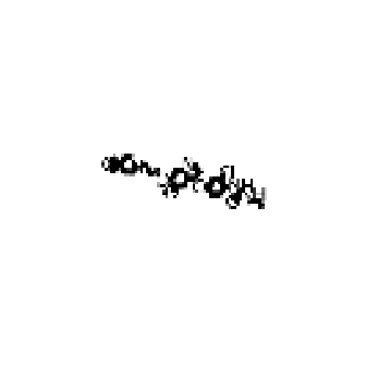 CCCNC(=O)Nc1ccc(Oc2ccnc3cc(OCCCN4CCC5(CC4)COC5)c(OC)cc23)cc1Cl